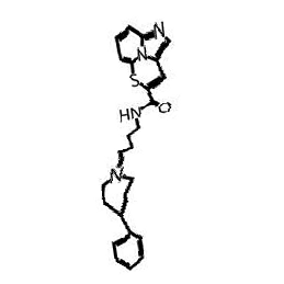 O=C(NCCCCN1CCC(c2ccccc2)CC1)C1=Cc2cnc3cccc(n23)S1